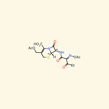 CCC(=O)C(=NOC(C)=O)C(=O)N[C@@H]1C(=O)N2C(C(=O)O)=C(COC(C)=O)CS[C@@H]12